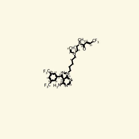 C=CN(CCCCCn1nc(-c2cc(C(F)(F)F)cc(C(F)(F)F)c2)c2c(N)ncnc21)CCN(C)C(=O)/C=C/C(F)(F)F